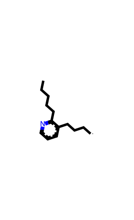 [CH2]CCCc1cccnc1CCCCC